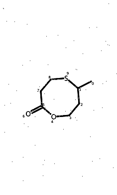 CC1CCOC(=O)CCS1